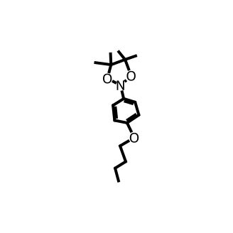 CCCCOc1ccc(N2OC(C)(C)C(C)(C)O2)cc1